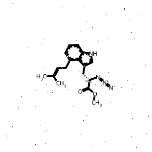 COC(=O)[C@H](Cc1c[nH]c2cccc(CC=C(C)C)c12)N=[N+]=[N-]